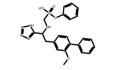 COc1cc(CC(NCP(=O)(O)Oc2ccccc2)c2nnn[nH]2)ccc1-c1ccccc1